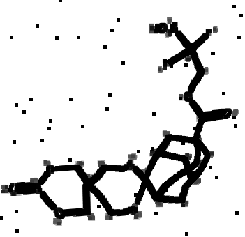 O=C(OCC(F)(F)S(=O)(=O)O)C12CC3CC(C1)C1(SCC4(COS(=O)OC4)CS1)C(C3)C2